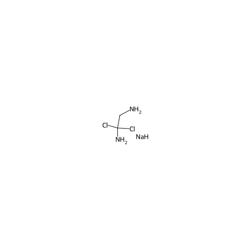 NCC(N)(Cl)Cl.[NaH]